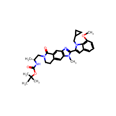 COc1cccc2cc(-c3nc4cc5c(cc4n3C)CCN(C[C@@H](C)NC(=O)OC(C)(C)C)C5=O)n(CC3CC3)c12